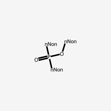 CCCCCCCCCOP(=O)(CCCCCCCCC)CCCCCCCCC